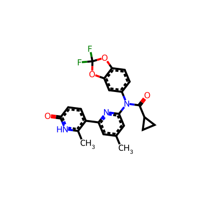 Cc1cc(-c2ccc(=O)[nH]c2C)nc(N(C(=O)C2CC2)c2ccc3c(c2)OC(F)(F)O3)c1